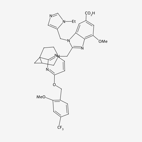 CCn1cncc1Cn1c(CN2CCC3(c4nccc(OCc5ccc(C(F)(F)F)cc5OC)n4)CC3C2)nc2c(OC)cc(C(=O)O)cc21